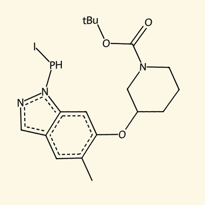 Cc1cc2cnn(PI)c2cc1OC1CCCN(C(=O)OC(C)(C)C)C1